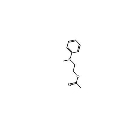 CC(=O)OCCN(C)c1ccccc1